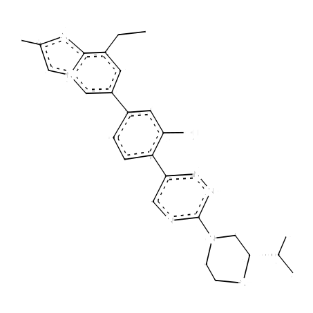 CCc1cc(-c2ccc(-c3cnc(N4CCN[C@@H](C(C)C)C4)nn3)c(O)c2)cn2cc(C)nc12